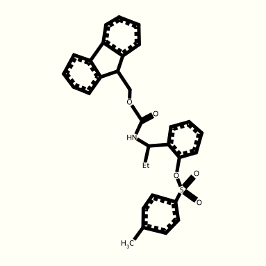 CCC(NC(=O)OCC1c2ccccc2-c2ccccc21)c1ccccc1OS(=O)(=O)c1ccc(C)cc1